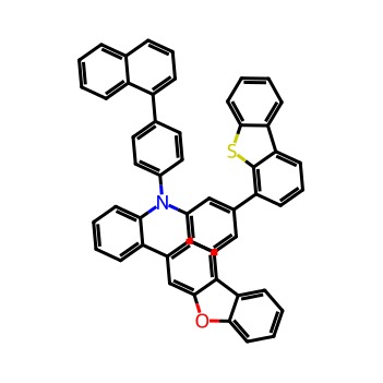 c1cc(-c2cccc3c2sc2ccccc23)cc(N(c2ccc(-c3cccc4ccccc34)cc2)c2ccccc2-c2ccc3c(c2)oc2ccccc23)c1